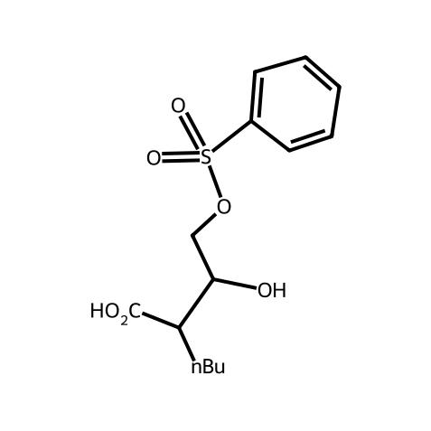 CCCCC(C(=O)O)C(O)COS(=O)(=O)c1ccccc1